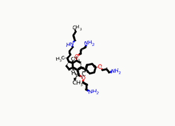 CCCCNCCC[C@@H](C)[C@H]1CC[C@H]2C([C@@H](CC)OCCCN)[C@@H]([C@]3(C)CC[C@H](OCCCN)CC3)C[C@H](OCCCN)C12C